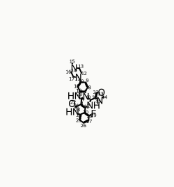 C[C@H](Nc1c(-c2nc3ccc(N4CCN(C)CC4)cc3[nH]2)c(=O)[nH]c2cccc(F)c12)c1cocn1